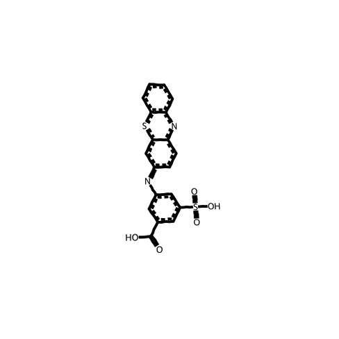 O=C(O)c1cc(/N=c2\ccc3nc4ccccc4sc-3c2)cc(S(=O)(=O)O)c1